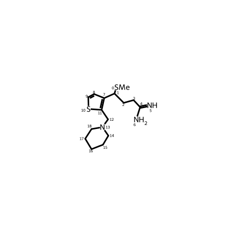 CSC(CCC(=N)N)c1ccsc1CN1CCCCC1